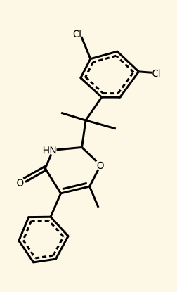 CC1=C(c2ccccc2)C(=O)NC(C(C)(C)c2cc(Cl)cc(Cl)c2)O1